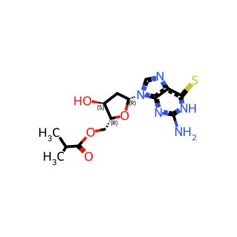 CC(C)C(=O)OC[C@H]1O[C@@H](n2cnc3c(=S)[nH]c(N)nc32)C[C@@H]1O